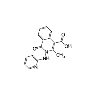 Cc1c(C(=O)O)c2ccccc2c(=O)n1Nc1ccccn1